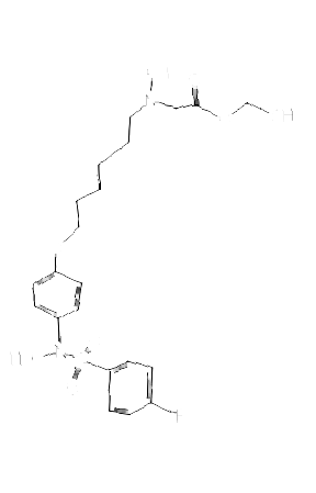 CCOC(=O)CN(C)CCCCCCOc1ccc(N(C)S(=O)(=O)c2ccc(F)cc2)cc1